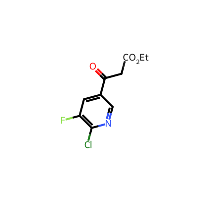 CCOC(=O)CC(=O)c1cnc(Cl)c(F)c1